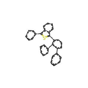 c1ccc(-c2cccc(-c3sc(-c4ccccc4)c4ccccc34)c2-c2ccccc2)cc1